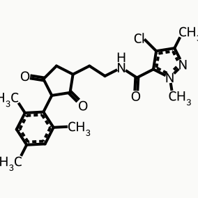 Cc1cc(C)c(C2C(=O)CC(CCNC(=O)c3c(Cl)c(C)nn3C)C2=O)c(C)c1